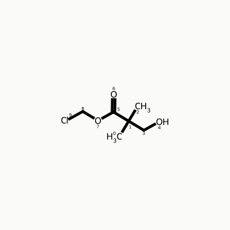 CC(C)(CO)C(=O)OCCl